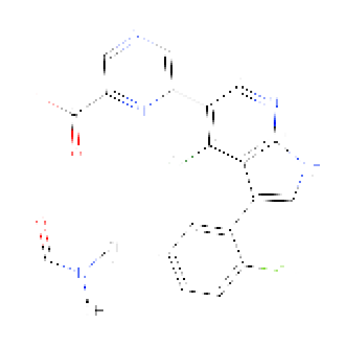 CN(C)C=O.O=C(O)c1cncc(-c2cnc3[nH]cc(-c4ccccc4F)c3c2Cl)n1